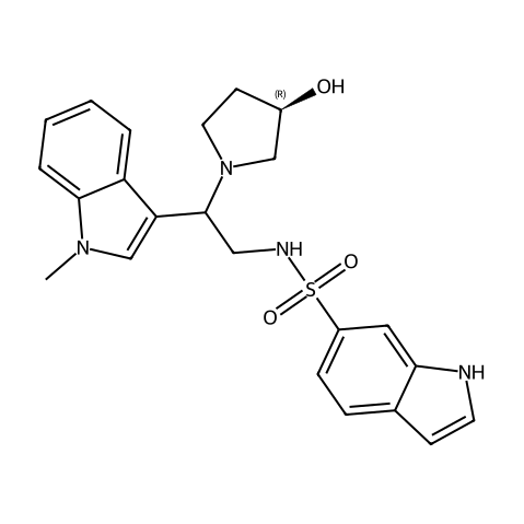 Cn1cc(C(CNS(=O)(=O)c2ccc3cc[nH]c3c2)N2CC[C@@H](O)C2)c2ccccc21